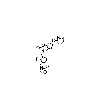 O=C1OCCN1Cc1cccc(CN2Cc3ccc(Oc4cccnn4)cc3OC2=O)c1F